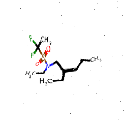 CCCC(CC)CN(CC)S(=O)(=O)C(C)(F)F